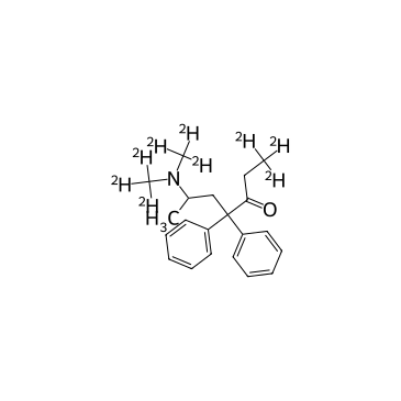 [2H]C([2H])([2H])CC(=O)C(CC(C)N(C([2H])([2H])[2H])C([2H])([2H])[2H])(c1ccccc1)c1ccccc1